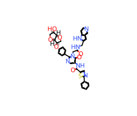 O=C(Cn1c(-c2ccc(O[C@@H]3CO[C@H]4[C@@H]3OC[C@H]4O)cc2)ncc(NC(=O)c2cnc(-c3ccccc3)s2)c1=O)NCc1cc2cnccc2[nH]1